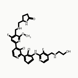 COc1nc(-c2ccnc(-c3cccc(Nc4nccc(CNCCO)c4F)c3Cl)c2Cl)cc(F)c1CNCC1CCC(=O)N1